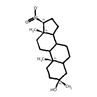 C[C@@]1(O)CC[C@@]2(C)C(CCC3C2CC[C@@]2(C)C3CC[C@@H]2[N+](=O)[O-])C1